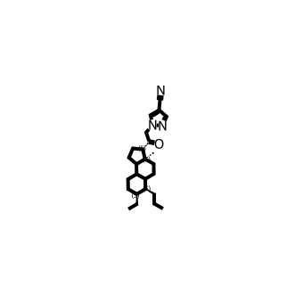 CCC[C@@H]1C2CC[C@@]3(C)C(CC[C@@H]3C(=O)Cn3cc(C#N)cn3)C2CC[C@@H]1CC